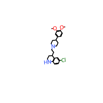 COc1ccc(C2CCN(CCC3CCNc4ccc(Cl)cc43)CC2)cc1OC